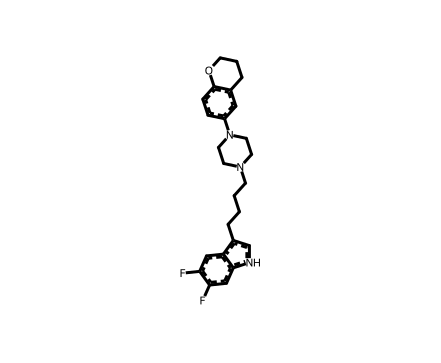 Fc1cc2[nH]cc(CCCCN3CCN(c4ccc5c(c4)CCCO5)CC3)c2cc1F